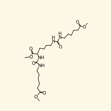 COC(=O)CCCCCNC(=O)NCCCCC(NC(=O)NCCCCCC(=O)OC)C(=O)OC